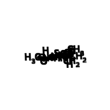 C=C(NC(=O)c1csc(N2CCC(CNC(=O)OCC)CC2)n1)C(=O)NC(=C)C(=O)OC